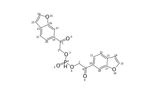 O=C(CO[PH](=O)OCC(=O)c1ccc2ccoc2c1)c1ccc2ccoc2c1